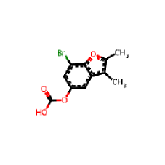 Cc1oc2c(Br)cc(OC(=O)O)cc2c1C